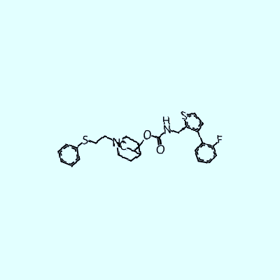 O=C(NCc1sccc1-c1ccccc1F)OC1C[N+]2(CCSc3ccccc3)CCC1CC2